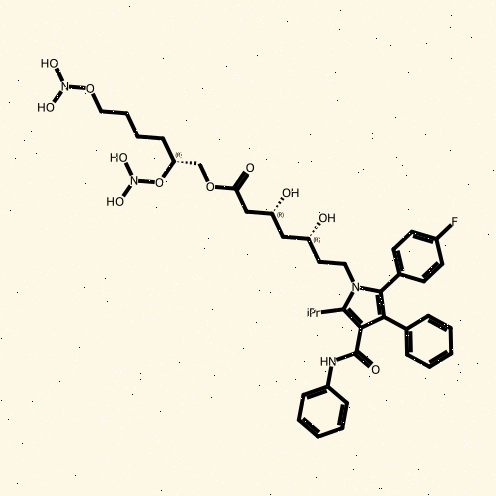 CC(C)c1c(C(=O)Nc2ccccc2)c(-c2ccccc2)c(-c2ccc(F)cc2)n1CC[C@@H](O)C[C@@H](O)CC(=O)OC[C@@H](CCCCON(O)O)ON(O)O